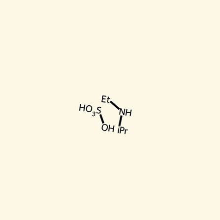 CCNC(C)C.O=S(=O)(O)O